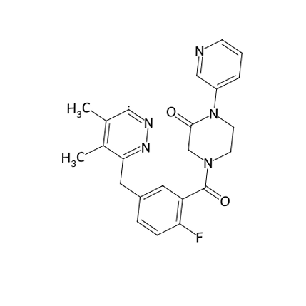 Cc1[c]nnc(Cc2ccc(F)c(C(=O)N3CCN(c4cccnc4)C(=O)C3)c2)c1C